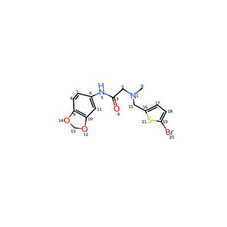 CN(CC(=O)Nc1ccc2c(c1)OCO2)Cc1ccc(Br)s1